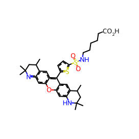 CC1CC(C)(C)Nc2cc3c(cc21)C(c1ccc(S(=O)(=O)NCCCCCC(=O)O)s1)=c1cc2c(cc1O3)=NC(C)(C)CC2C